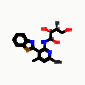 CC[C@H](CO)[C@@H](O)[C@@H](O)Nc1nc(SC)cc(C)c1-c1nc2ccccc2s1